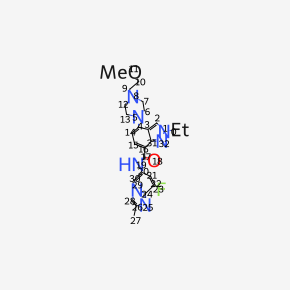 CCn1cc2c(N3CCN(CCOC)CC3)ccc(C(=O)Nc3cc(F)c4nc(C)cn4c3)c2n1